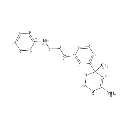 CC1(c2cccc(OCCNc3ccccc3)c2)CCSC(N)=N1